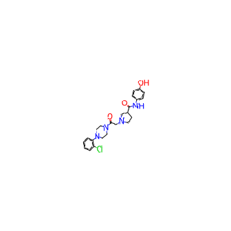 O=C(Nc1ccc(O)cc1)C1CCN(CC(=O)N2CCN(c3ccccc3Cl)CC2)C1